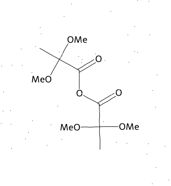 COC(C)(OC)C(=O)OC(=O)C(C)(OC)OC